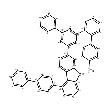 Cc1ccc(-c2ccccc2-c2nc(-c3ccccc3)nc(-c3ccc4c(c3)oc3cccc(-c5ccc(-c6ccccc6)cc5)c34)n2)cc1